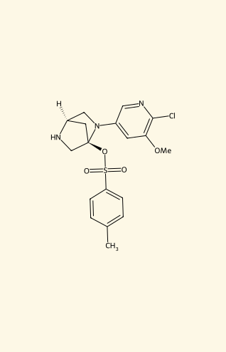 COc1cc(N2C[C@H]3C[C@@]2(OS(=O)(=O)c2ccc(C)cc2)CN3)cnc1Cl